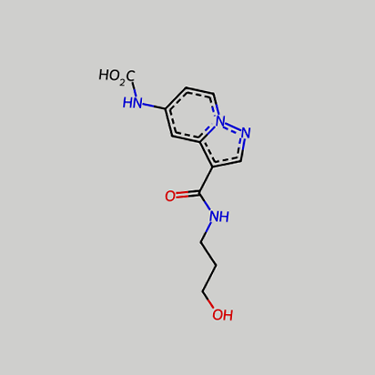 O=C(O)Nc1ccn2ncc(C(=O)NCCCO)c2c1